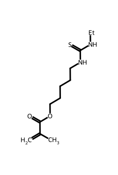 C=C(C)C(=O)OCCCCCNC(=S)NCC